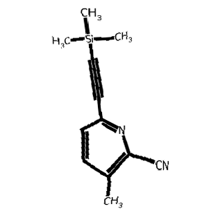 Cc1ccc(C#C[Si](C)(C)C)nc1C#N